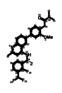 COc1cc(-c2ccc3nc(C)cc(N[C@H](C)c4cccc(C(F)F)c4F)c3c2)ccc1CC(=O)N(C)C